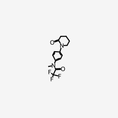 CN(C(=O)C(F)(F)F)c1ccc(N2CCCCC2=O)cc1